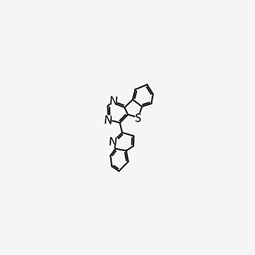 c1ccc2nc(-c3ncnc4c3sc3ccccc34)ccc2c1